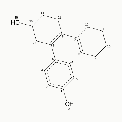 Oc1ccc(C2=C(C3=CCCCC3)CCC(O)C2)cc1